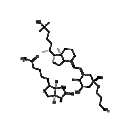 C=C1/C(=C\C=C2CCC[C@@]3(C)C2CC[C@@H]3[C@H](C)CCCC(C)(C)O)C[C@](O)(OCCCN)CC1O.NC(=O)CCCC[C@@H]1SC[C@@H]2NC(=O)N[C@@H]21